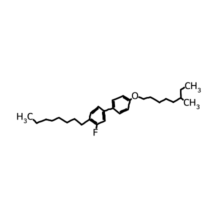 CCCCCCCCc1ccc(-c2ccc(OCCCCCC(C)CC)cc2)cc1F